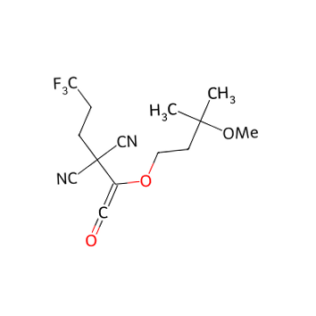 COC(C)(C)CCOC(=C=O)C(C#N)(C#N)CCC(F)(F)F